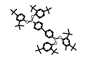 Cc1cc(OP(Oc2ccc(C(C)(C)C)cc2C(C)(C)C)c2ccc(-c3ccc(P(Oc4ccc(C(C)(C)C)cc4C(C)(C)C)Oc4ccc(C(C)(C)C)cc4C(C)(C)C)cc3)cc2)c(C(C)(C)C)cc1C(C)(C)C